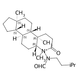 CC(C)CCN(C=O)[N+]1(C)C(=O)CC[C@@]2(C)[C@H]1CC[C@H]1[C@@H]3CCC[C@@]3(C)CC[C@@H]12